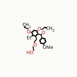 C=CCOc1cc(OCC=C)c(C(=O)c2ccc(OC)cc2)c(CCOCCO)c1CC